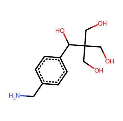 NCc1ccc(C(O)C(CO)(CO)CO)cc1